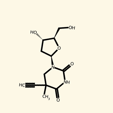 C#CC1(C)CN([C@H]2C[C@H](O)[C@@H](CO)O2)C(=O)NC1=O